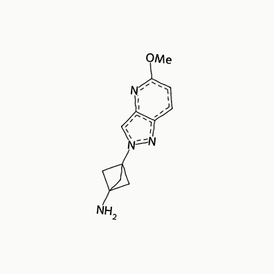 COc1ccc2nn(C34CC(N)(C3)C4)cc2n1